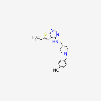 N#Cc1ccc(CN2CCC(CNc3ncnc4sc(CC(F)(F)F)cc34)CC2)cc1